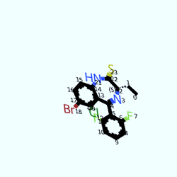 CC[C@@H]1N=C(c2c(F)cccc2F)c2c(ccc(Br)c2Cl)NC1=S